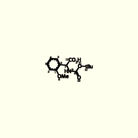 COc1ccccc1C(NC(=O)OC(C)(C)C)C(=O)O